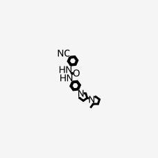 CC1CCCN1C1CCN(c2ccc(NC(=O)Nc3cccc(C#N)c3)cc2)C1